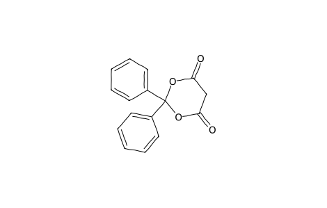 O=C1CC(=O)OC(c2ccccc2)(c2ccccc2)O1